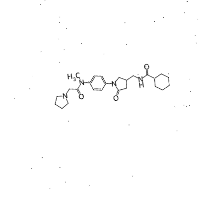 CN(C(=O)CN1CCCC1)c1ccc(N2CC(CNC(=O)C3CCCCC3)CC2=O)cc1